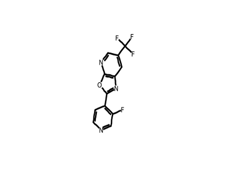 Fc1cnccc1-c1nc2cc(C(F)(F)F)cnc2o1